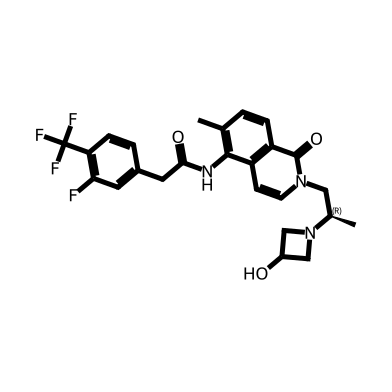 Cc1ccc2c(=O)n(C[C@@H](C)N3CC(O)C3)ccc2c1NC(=O)Cc1ccc(C(F)(F)F)c(F)c1